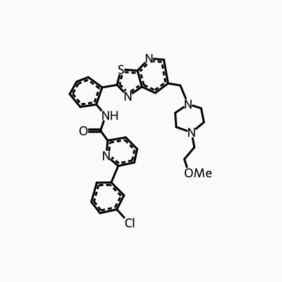 COCCN1CCN(Cc2cnc3sc(-c4ccccc4NC(=O)c4cccc(-c5cccc(Cl)c5)n4)nc3c2)CC1